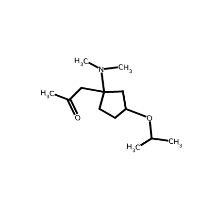 CC(=O)CC1(N(C)C)CCC(OC(C)C)C1